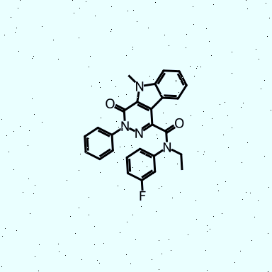 CCN(C(=O)c1nn(-c2ccccc2)c(=O)c2c1c1ccccc1n2C)c1cccc(F)c1